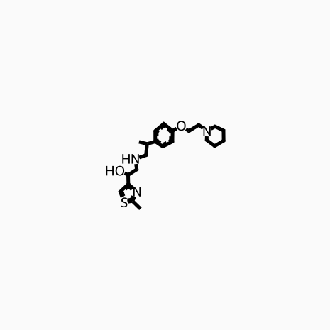 Cc1nc(C(O)CNCC(C)c2ccc(OCCN3CCCCC3)cc2)cs1